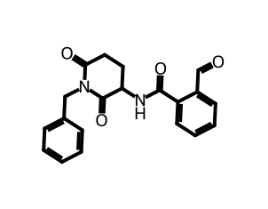 O=Cc1ccccc1C(=O)NC1CCC(=O)N(Cc2ccccc2)C1=O